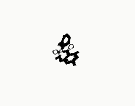 Cc1cc(C)c(C(=O)P(=O)(c2ccccc2)C(C)C)c(C)c1